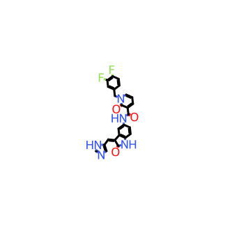 O=C1Nc2ccc(NC(=O)c3cccn(Cc4ccc(F)c(F)c4)c3=O)cc2C1=Cc1cnc[nH]1